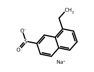 CCc1cccc2ccc(S(=O)[O-])cc12.[Na+]